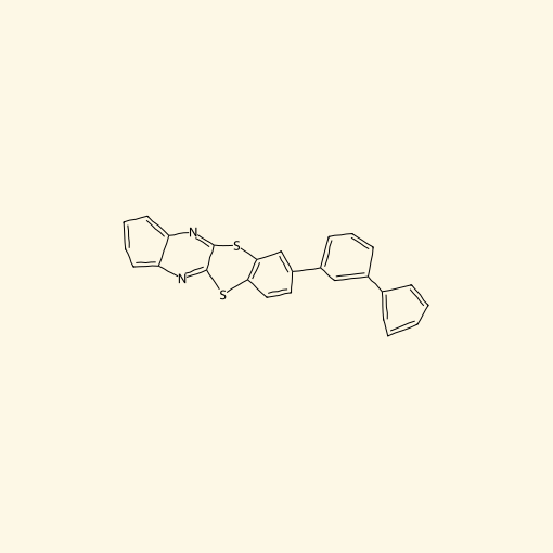 c1ccc(-c2cccc(-c3ccc4c(c3)Sc3nc5ccccc5nc3S4)c2)cc1